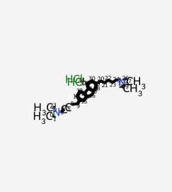 CCN(CC)CCCCCc1ccc2c(c1)Cc1cc(CCCCCN(CC)CC)ccc1-2.Cl.Cl